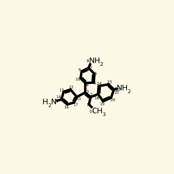 CCC(=C(c1ccc(N)cc1)c1ccc(N)cc1)c1ccc(N)cc1